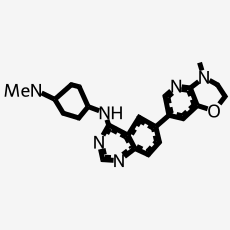 CNC1CCC(Nc2ncnc3ccc(-c4cnc5c(c4)OCCN5C)cc23)CC1